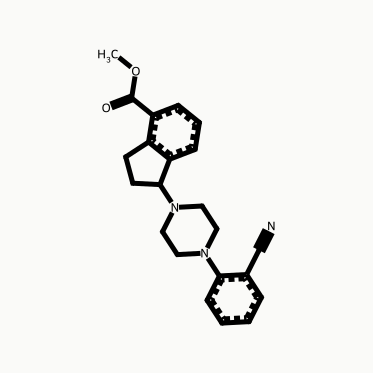 COC(=O)c1cccc2c1CCC2N1CCN(c2ccccc2C#N)CC1